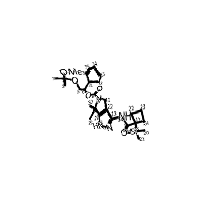 COC(C)(C)OCC(OC(=O)N1Cc2c(NC(=O)C3([Si](C)(C)C)CCC3)n[nH]c2C1(C)C)c1ccccc1